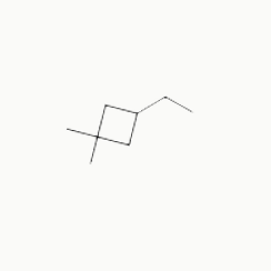 CCC1(C)CC(CC(C)C)C1